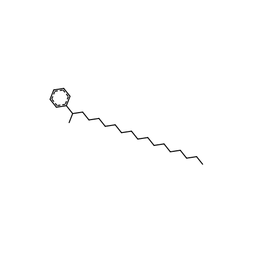 CCCCCCCCCCCCCCCCC(C)c1ccccc1